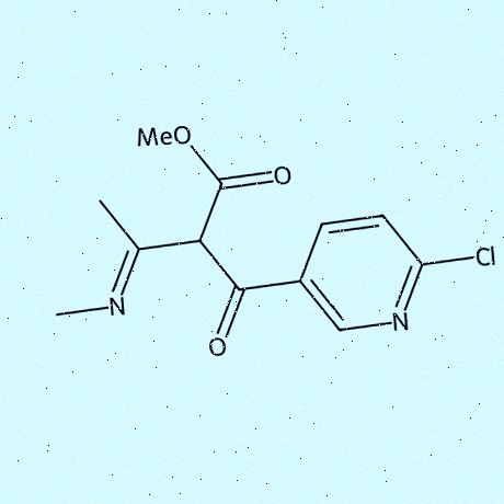 CN=C(C)C(C(=O)OC)C(=O)c1ccc(Cl)nc1